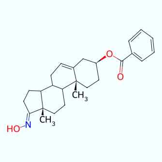 C[C@]12CC[C@H](OC(=O)c3ccccc3)CC1=CCC1C2CC[C@]2(C)C(=NO)CCC12